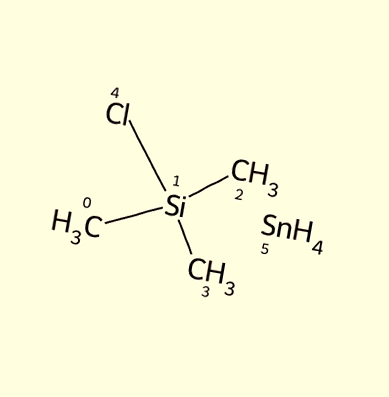 C[Si](C)(C)Cl.[SnH4]